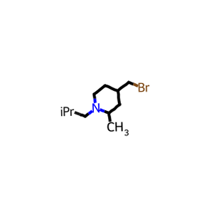 CC(C)CN1CCC(CBr)CC1C